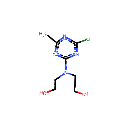 Cc1nc(Cl)nc(N(CCO)CCO)n1